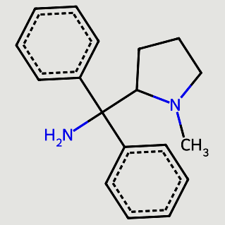 CN1CCCC1C(N)(c1ccccc1)c1ccccc1